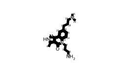 Cc1[nH]nc2c1c(=O)n(CCCN)c1ccc(CCCN(C)C)cc21